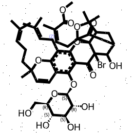 COC(=O)/C(C)=C\CC12OC(C)(C)C3CC(C1=O)C(O)C1(Br)C(=O)c4c(O[C@@H]5O[C@H](CO)[C@@H](O)[C@H](O)[C@H]5O)c5c(c(CC=C(C)C)c4OC321)OC(C)(CCC=C(C)C)C=C5